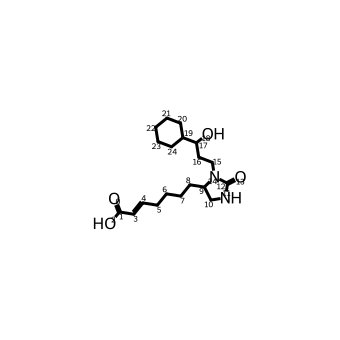 O=C(O)C=CCCCCC1CNC(=O)N1CCC(O)C1CCCCC1